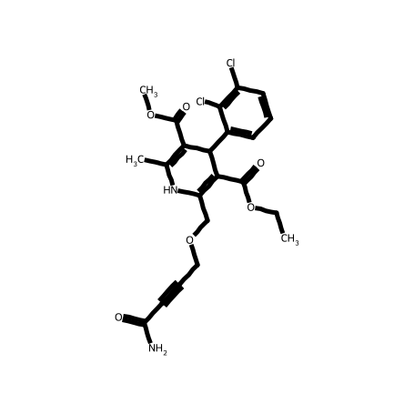 CCOC(=O)C1=C(COCC#CC(N)=O)NC(C)=C(C(=O)OC)C1c1cccc(Cl)c1Cl